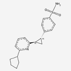 NS(=O)(=O)c1ccc([C@@H]2C[C@H]2c2cccc(C3CCCC3)n2)cc1